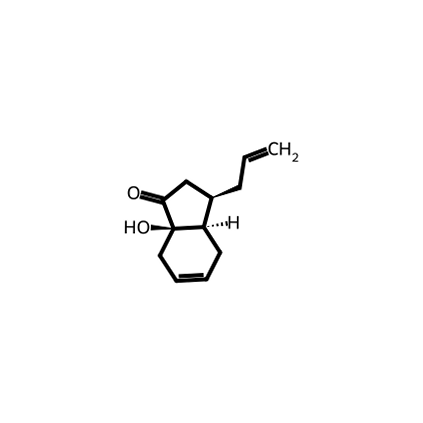 C=CC[C@@H]1CC(=O)[C@@]2(O)CC=CC[C@H]12